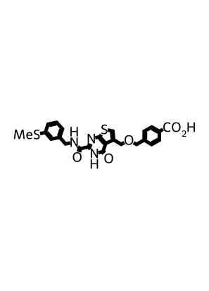 CSc1cccc(CNC(=O)c2nc3scc(COCc4ccc(C(=O)O)cc4)c3c(=O)[nH]2)c1